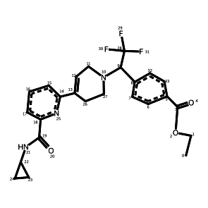 CCOC(=O)c1ccc(C(N2CC=C(c3cccc(C(=O)NC4CC4)n3)CC2)C(F)(F)F)cc1